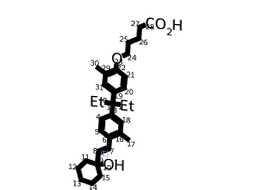 CCC(CC)(c1ccc(/C=C/C2(O)CCCCC2)c(C)c1)c1ccc(OCCCCC(=O)O)c(C)c1